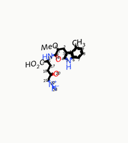 COC(Cc1c[nH]c2cccc(C)c12)C(=O)NC(CCC(=O)C=[N+]=[N-])C(=O)O